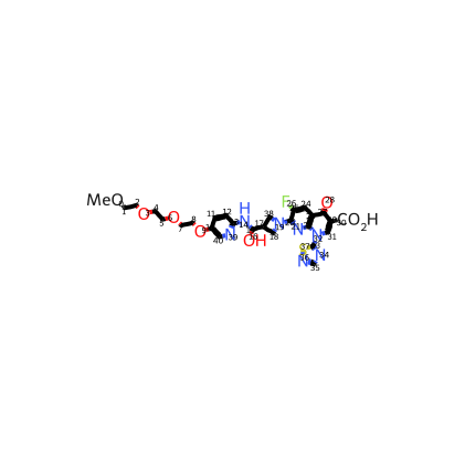 COCCOCCOCCOc1ccc(NC(O)C2CN(c3nc4c(cc3F)c(=O)c(C(=O)O)cn4-c3ncns3)C2)nc1